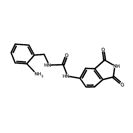 Nc1ccccc1CNC(=O)Nc1ccc2c(c1)C(=O)NC2=O